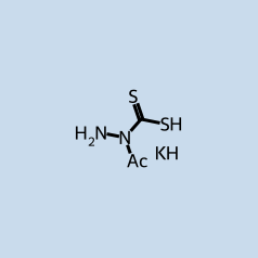 CC(=O)N(N)C(=S)S.[KH]